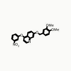 COc1ccc(COc2ccc3c(Oc4cccc([N+](=O)[O-])c4)ccnc3c2)cc1OC